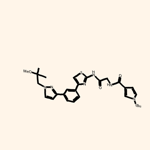 COC(C)(C)Cn1ccc(-c2cccc(-c3csc(NC(=O)CNC(=O)c4ccn(C(C)(C)C)c4)n3)c2)n1